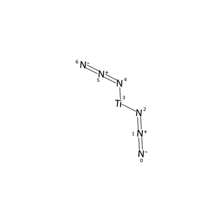 [N-]=[N+]=[N][Ti][N]=[N+]=[N-]